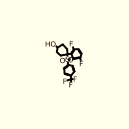 O=S(=O)(c1ccc(C(F)(F)F)cc1)C1(c2cc(F)ccc2F)CCC(O)CC1